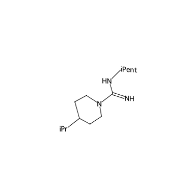 CCCC(C)NC(=N)N1CCC(C(C)C)CC1